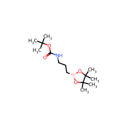 CC(C)(C)OC(=O)NCCCB1OC(C)(C)C(C)(C)O1